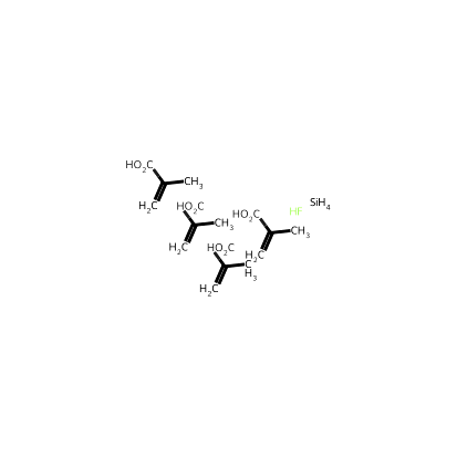 C=C(C)C(=O)O.C=C(C)C(=O)O.C=C(C)C(=O)O.C=C(C)C(=O)O.F.[SiH4]